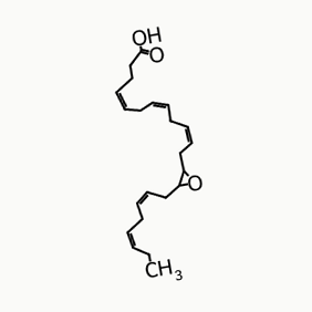 CC/C=C\C/C=C\CC1OC1C/C=C\C/C=C\C/C=C\CCC(=O)O